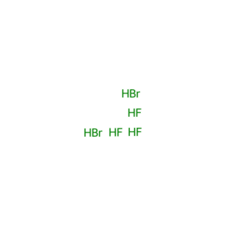 Br.Br.F.F.F